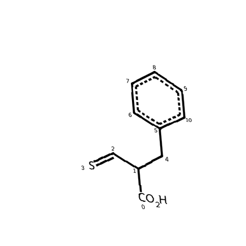 O=C(O)C(C=S)Cc1ccccc1